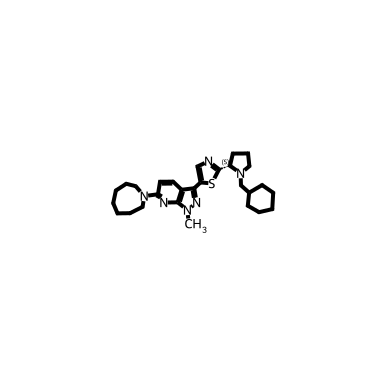 Cn1nc(-c2cnc([C@@H]3CCCN3CC3CCCCC3)s2)c2ccc(N3CCCCCCC3)nc21